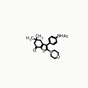 CC(=O)Nc1ccc(-c2c(N3CCOCC3)sc3c2CC(C)(C)CC3=O)cc1